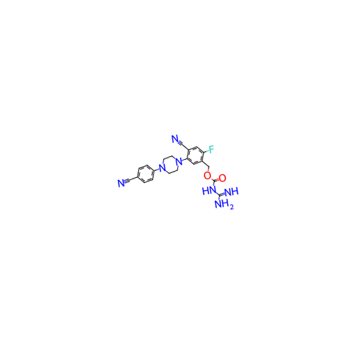 N#Cc1ccc(N2CCN(c3cc(COC(=O)NC(=N)N)c(F)cc3C#N)CC2)cc1